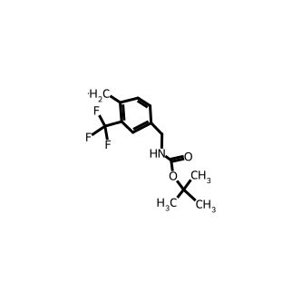 [CH2]c1ccc(CNC(=O)OC(C)(C)C)cc1C(F)(F)F